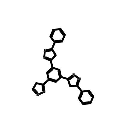 C1=NN=C(c2cc(C3=NN=C(c4ccccc4)C3)cc(C3=NN=C(c4ccccc4)C3)c2)C1